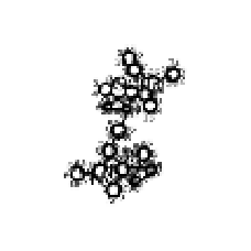 CC12CC=CC=C1C1(c3cc(-c4ccccc4-c4nc(-c5ccccc5)cc(-c5ccc6ccccc6c5)n4)ccc3O2)c2ccccc2-c2c(-c3ccc(-c4ccc(-c5cc(-c6ccccc6)nc(-c6ccccc6-c6ccc7c(c6)C6(c8ccccc8O7)c7ccccc7-c7ccccc76)n5)cc4)cc3)cccc21